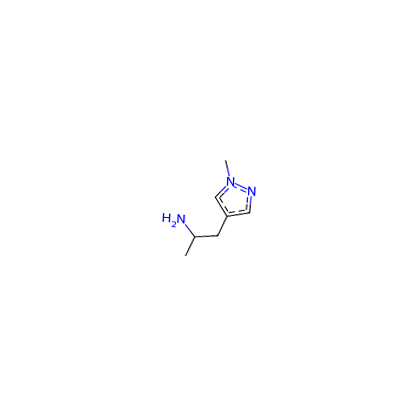 CC(N)Cc1cnn(C)c1